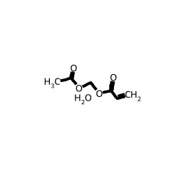 C=CC(=O)OCOC(C)=O.O